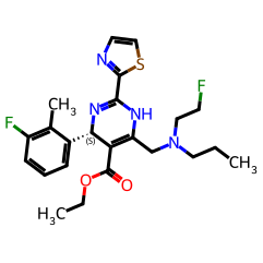 CCCN(CCF)CC1=C(C(=O)OCC)[C@H](c2cccc(F)c2C)N=C(c2nccs2)N1